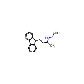 CC(CCC1c2ccccc2-c2ccccc21)NCC=O